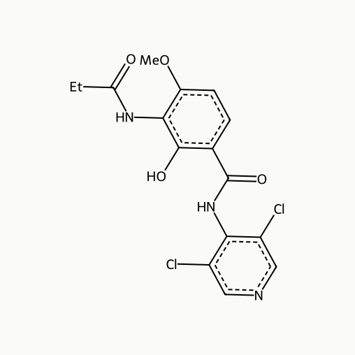 CCC(=O)Nc1c(OC)ccc(C(=O)Nc2c(Cl)cncc2Cl)c1O